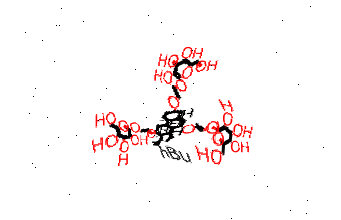 CCCC[C@@H](C)[C@H]1CC[C@H]2[C@@H]3[C@H](OCCO[C@@H]4OC(CO)[C@@H](O)C(O)[C@@H]4O)C[C@@H]4C[C@H](OCCO[C@@H]5OC(CO)[C@@H](O)C(O)[C@@H]5O)CC[C@]4(C)[C@H]3C[C@H](OCCO[C@@H]3OC(CO)[C@@H](O)C(O)C3O)[C@]12C